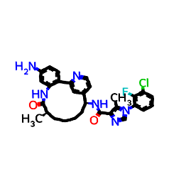 Cc1c(C(=O)N[C@H]2CCCC[C@@H](C)C(=O)Nc3cc(N)ccc3-c3cc2ccn3)ncn1-c1cccc(Cl)c1F